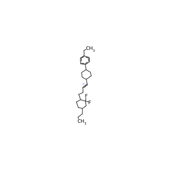 CCCC1CCC(CC/C=C/C2CCC(c3ccc(CC)cc3)CC2)C(F)(F)C1